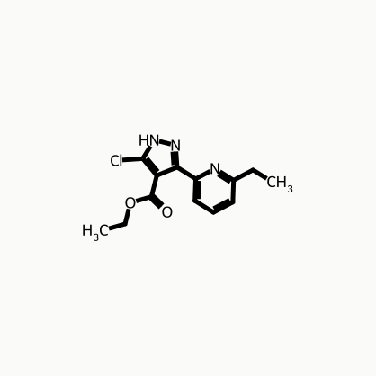 CCOC(=O)c1c(-c2cccc(CC)n2)n[nH]c1Cl